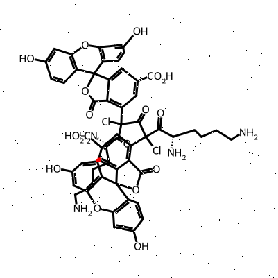 NCCCC[C@H](N)C(=O)C(Cl)(C(=O)C(Cl)(C(=O)[C@@H](N)CCCCN)c1cc(C(=O)O)cc2c1C(=O)OC21c2ccc(O)cc2Oc2cc(O)ccc21)c1cc(C(=O)O)cc2c1C(=O)OC21c2ccc(O)cc2Oc2cc(O)ccc21